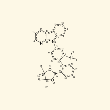 CC1(C)c2cc(-n3c4ccccc4c4cccnc43)ccc2-c2c(B3OC(C)(C)C(C)(C)O3)cccc21